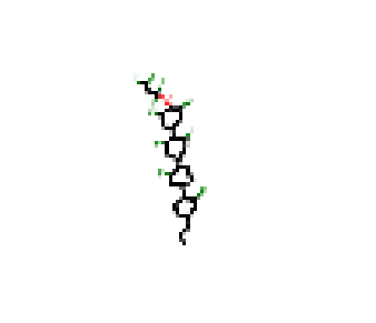 CCCc1ccc(-c2ccc(-c3cc(F)c(-c4cc(F)c(OC(F)(F)C=C(F)F)c(F)c4)c(F)c3)c(F)c2)c(F)c1